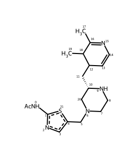 CC(=O)Nc1ncc(CN2CCN[C@@H](CC3C=CN=C(C)C3C)C2)s1